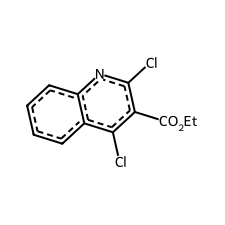 CCOC(=O)c1c(Cl)nc2ccccc2c1Cl